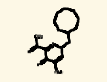 COC(=O)c1nn(CC2CCCCCCC2)cc(OC)c1=O